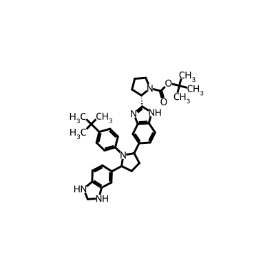 CC(C)(C)OC(=O)N1CCC[C@H]1c1nc2cc(C3CCC(c4ccc5c(c4)NCN5)N3c3ccc(C(C)(C)C)cc3)ccc2[nH]1